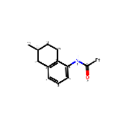 CCC(=O)Nc1cccc2c1CCC(C)C2